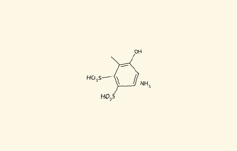 Cc1c(O)ccc(S(=O)(=O)O)c1S(=O)(=O)O.N